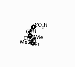 CCc1ccc(OC)c([C@H](Oc2ccc(C(=O)NC[C@H]3CC[C@H](C(=O)O)CC3)cc2Cl)[C@@H](I)OC)n1